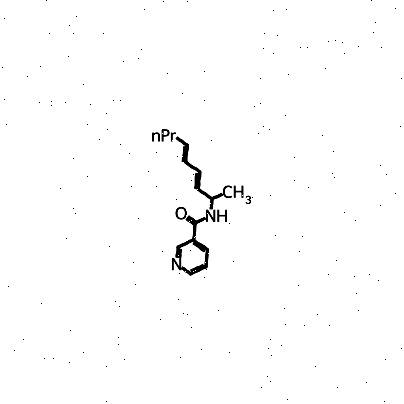 CCCC=CC=CC(C)NC(=O)c1cccnc1